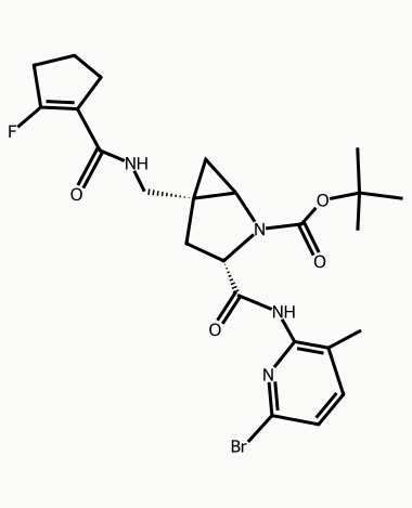 Cc1ccc(Br)nc1NC(=O)[C@@H]1C[C@@]2(CNC(=O)C3=C(F)CCC3)CC2N1C(=O)OC(C)(C)C